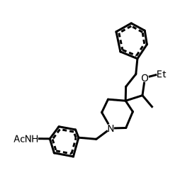 CCOC(C)C1(CCc2ccccc2)CCN(Cc2ccc(NC(C)=O)cc2)CC1